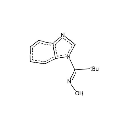 CC(C)(C)C(=NO)n1cnc2ccccc21